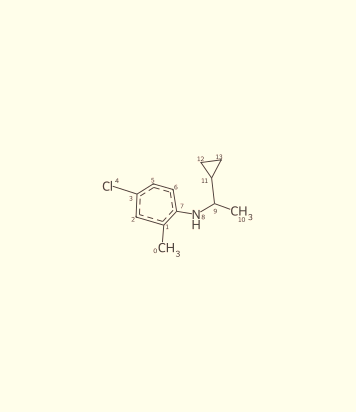 Cc1cc(Cl)ccc1NC(C)C1CC1